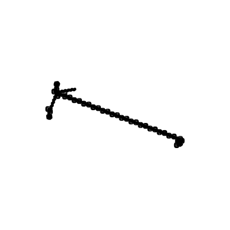 CCCCCCCCCCCC(CCCCCCCCCCC(=O)OCc1ccccc1)(C(=O)NCCOCCOCCOCCOCCOCCOCCOCCOCCOCCOCCOCCOCCOCCOCCOCCOCCOCCOCCOCCOCCOCCOCCOCCOCCC(=O)ON1C(=O)CCC1=O)C(=O)OCc1ccccc1